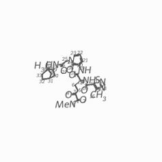 CNC(=O)C(=O)CC[C@H](NC(=O)c1snnc1C)C(=O)Nc1cccn(CC(=O)NC2CC3CC[C@]2(C)C3)c1=O